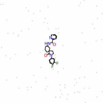 O=C(N[C@H]1CCCC2(CCN(c3ccc(F)c(F)c3)C2=O)C1)c1ccccn1